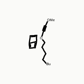 CCC(C)CCCCOC#COC.c1cc2ccc1-2